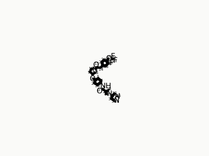 O=C(Nc1ccc(OC2CCN(C(=O)Cc3ccc(OC(F)(F)F)cc3)C2)cc1)C1CN(c2ccnnc2)C1